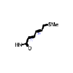 CSC/C=C/C=C/C([NH])=O